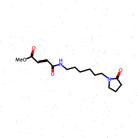 COC(=O)C=CC(=O)NCCCCCCN1CCCC1=O